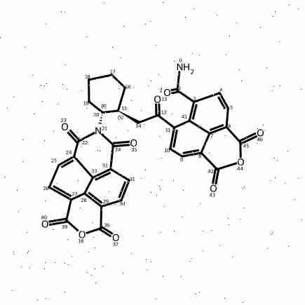 NC(=O)c1ccc2c3c(ccc(C(=O)C[C@@H]4CCCC[C@H]4N4C(=O)c5ccc6c7c(ccc(c57)C4=O)C(=O)OC6=O)c13)C(=O)OC2=O